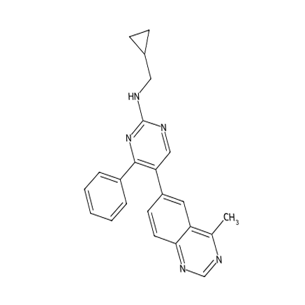 Cc1ncnc2ccc(-c3cnc(NCC4CC4)nc3-c3ccccc3)cc12